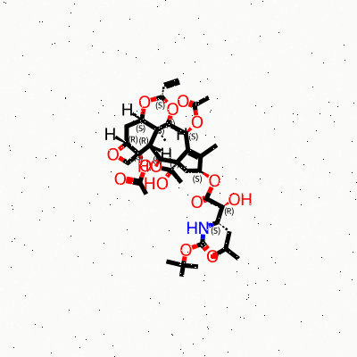 C=C[C@H]1O[C@H]2C[C@H]3OC[C@@]3(OC(C)=O)[C@H]3[C@H](O)[C@]4(C(C)(C)O)C[C@H](OC(=O)[C@H](O)[C@H](CC(C)C)NC(=O)OC(C)(C)C)C(C)=C4[C@H](OC(C)=O)[C@H](O1)[C@]23C